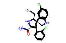 CC(C)(C)C[C@@H]1N[C@@H](C(N)=O)[C@H](c2ccccc2Cl)[C@]12CNc1ccc(Cl)cc12